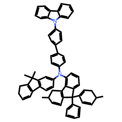 CC1C=CC(C2(c3ccccc3)C3=C(CC(C)C=C3)c3c(N(c4ccc(-c5ccc(-n6c7ccccc7c7ccccc76)cc5)cc4)c4ccc5c(c4)C(C)(C)C4=C5C=CCC4)cccc32)=CC1